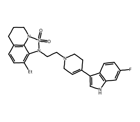 CCc1ccc2c3c1N(CCN1CC=C(c4c[nH]c5cc(F)ccc45)CC1)S(=O)(=O)N3CCC2